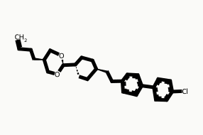 C=CCC[C@H]1CO[C@H]([C@H]2CC[C@H](CCc3ccc(-c4ccc(Cl)cc4)cc3)CC2)OC1